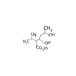 CC(O)CC(O)C(C(=O)O)C(C)C#N